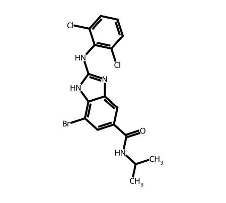 CC(C)NC(=O)c1cc(Br)c2[nH]c(Nc3c(Cl)cccc3Cl)nc2c1